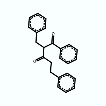 O=C(CCc1ccccc1)C(Cc1ccccc1)C(=O)c1ccccc1